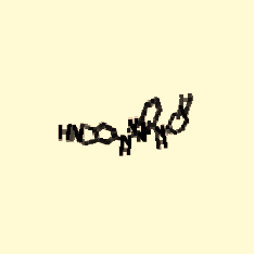 c1cc(N[C@H]2CCCNC2)n2nc(Nc3ccc4c(c3)CNC4)nc2c1